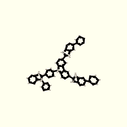 c1ccc(-c2ccc3nc(-c4ccc5c(c4)c4cc(-c6nc7ccc(-c8ccccc8)cc7o6)ccc4n5-c4ccc(-c5nc6ccccc6n5-c5ccccc5)cc4)oc3c2)cc1